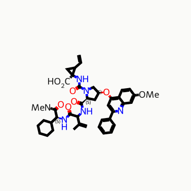 C=CC1CC1(NC(=O)N1C[C@@H](Oc2cc(-c3ccccc3)nc3cc(OC)ccc23)C[C@H]1C(=O)NC(C(=C)C)C(=O)N[C@H](C(=O)NC)C1CCCCC1)C(=O)O